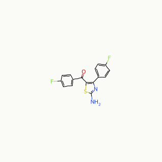 Nc1nc(-c2ccc(F)cc2)c(C(=O)c2ccc(F)cc2)s1